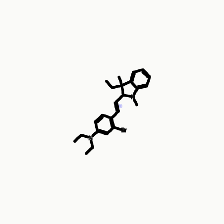 CCN(CC)c1ccc(/C=C/C2N(C)c3ccccc3C2(C)CC)c(Br)c1